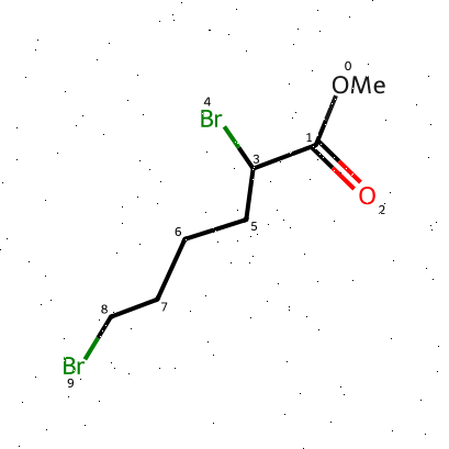 COC(=O)C(Br)CCCCBr